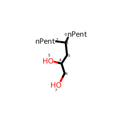 CCCCCC(CCCCC)CC(O)CO